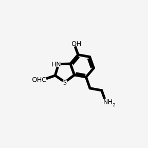 NCCc1ccc(O)c2c1SC(C=O)N2